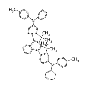 Cc1ccc(N(C2=CC=CCC2)c2ccc3c(c2)C(C)(C)c2c4c(c5ccccc5c2-3)-c2ccc(N(c3ccccc3)c3ccc(C)cc3)cc2C4(C)C)cc1